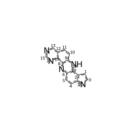 c1cc2c(ccc3nc4c(ccc5cncnc54)[nH]c32)n1